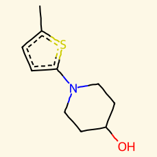 Cc1ccc(N2CCC(O)CC2)s1